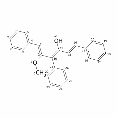 COC(=Cc1ccccc1)C(=C(O)C=Cc1ccccc1)c1ccccc1